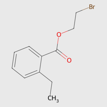 CCc1ccccc1C(=O)OCCBr